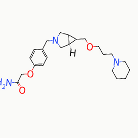 NC(=O)COc1ccc(CN2CC3C(COCCCN4CCCCC4)[C@H]3C2)cc1